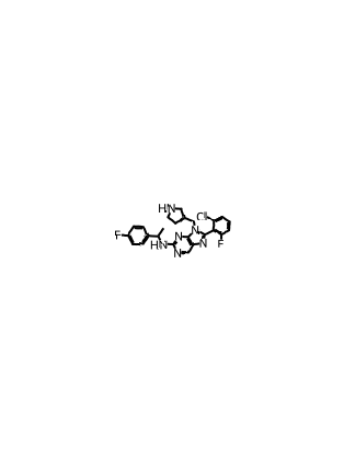 CC(Nc1ncc2nc(-c3c(F)cccc3Cl)n(CC3CCNC3)c2n1)c1ccc(F)cc1